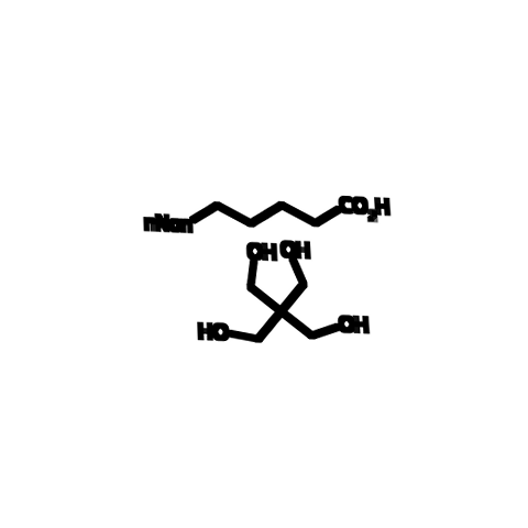 CCCCCCCCCCCCCC(=O)O.OCC(CO)(CO)CO